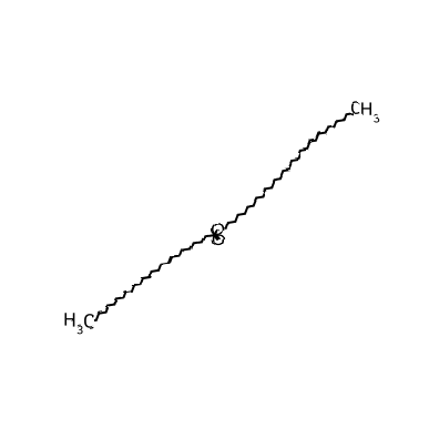 CCCCCCCCCCCCCCCCCCCCCCCCCCCCCCOC(=O)CCCCCCCCCCCCCCCCCCCCCCCCC